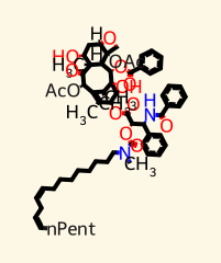 CCCCC/C=C\C/C=C\CCCCCCCCN(C)C(=O)O[C@@H](C(=O)O[C@H]1C[C@@]2(O)[C@@H](OC(=O)c3ccccc3)[C@@H]3[C@]4(OC(C)=O)CO[C@@H]4C[C@H](O)[C@@]3(C)C(=O)[C@H](OC(C)=O)C(=C1C)C2(C)C)[C@@H](NC(=O)c1ccccc1)c1ccccc1